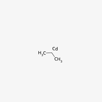 CCC.[Cd]